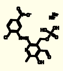 Cc1nc(N=Nc2cc([N+](=O)[O-])ccc2Cl)c(COP(=O)(O)O)c(C=O)c1O.[Na].[Na]